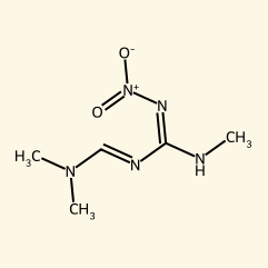 CNC(N=CN(C)C)=N[N+](=O)[O-]